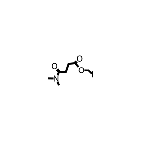 CN(C)C(=O)CCC(=O)OCI